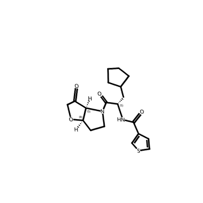 O=C(N[C@@H](CC1CCCC1)C(=O)N1CC[C@H]2OCC(=O)[C@H]21)c1ccsc1